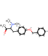 CC(=O)C(Cc1ccc(OCc2ccccc2)cc1)N(C)C